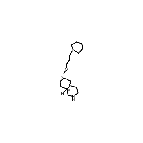 C1CCN(CCCOC[C@H]2CC[C@H]3CNCCN3C2)CC1